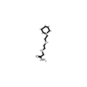 NC(=O)COCCOCCN1CCCCC1